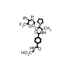 CC(C)C(NC(=O)[C@@H]1CCCN1C(=O)[C@H](C)NC(=O)c1ccc(C(=O)NCC(=O)O)cc1)C(=O)C(F)(F)F